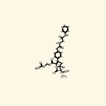 C[C@@H](O)[C@H]1C(=O)N2C(C(=O)OCOC(=O)C(C)(C)C)=C(c3ccc(CC(=O)NCC(=O)Nc4cccnc4)cc3)C[C@H]12